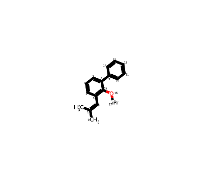 CC(C)=Cc1cccc(-c2ccccc2)c1OC(C)C